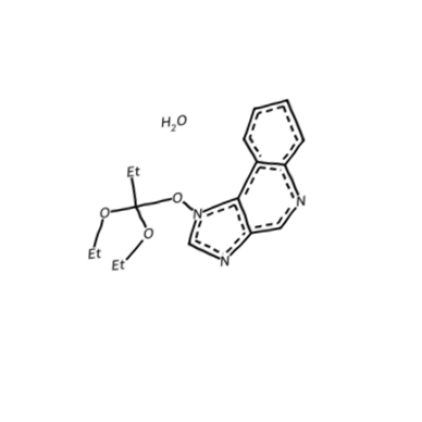 CCOC(CC)(OCC)On1cnc2cnc3ccccc3c21.O